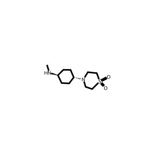 CN[C@H]1CC[C@H](N2CCS(=O)(=O)CC2)CC1